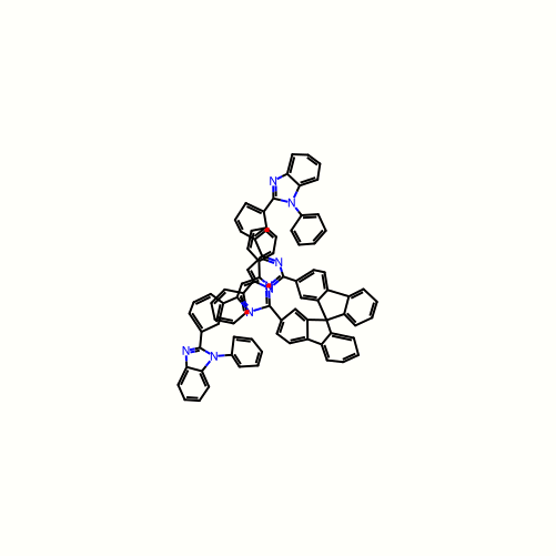 c1ccc(-c2cc(-c3cccc(-c4nc5ccccc5n4-c4ccccc4)c3)nc(-c3ccc4c(c3)C3(c5ccccc5-4)c4ccccc4-c4ccc(-c5nc(-c6ccccc6)cc(-c6cccc(-c7nc8ccccc8n7-c7ccccc7)c6)n5)cc43)n2)cc1